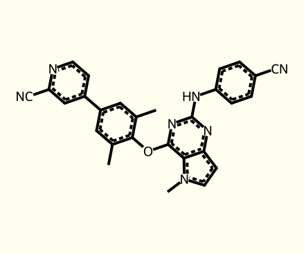 Cc1cc(-c2ccnc(C#N)c2)cc(C)c1Oc1nc(Nc2ccc(C#N)cc2)nc2ccn(C)c12